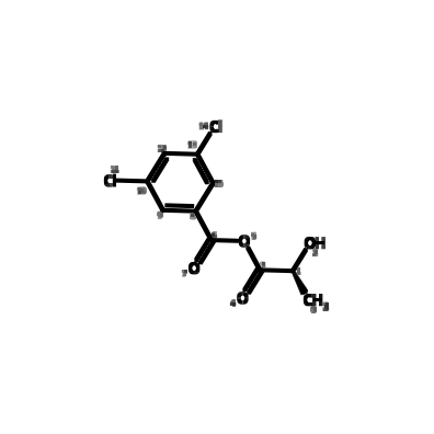 C[C@H](O)C(=O)OC(=O)c1cc(Cl)cc(Cl)c1